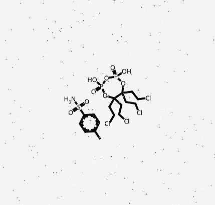 Cc1ccc(S(N)(=O)=O)cc1.O=P1(O)OC(CCCl)(CCCl)C(CCCl)(CCCl)OP(=O)(O)O1